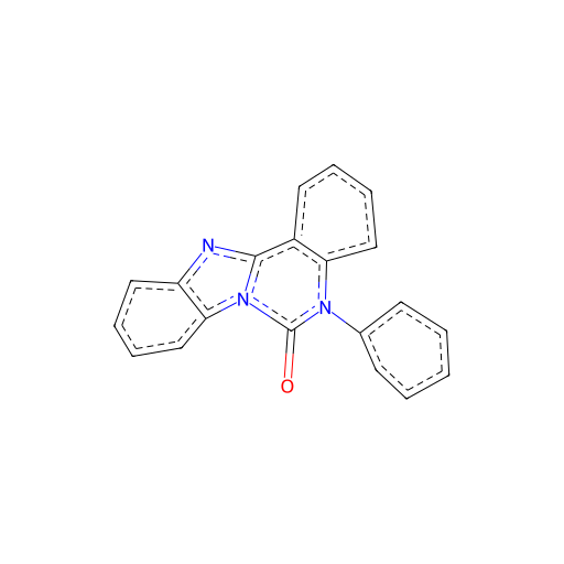 O=c1n(-c2ccccc2)c2ccccc2c2nc3ccccc3n12